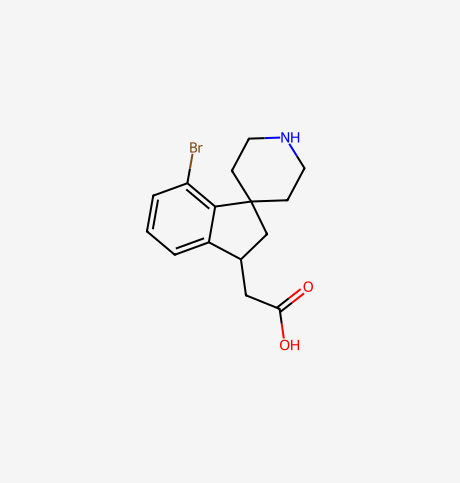 O=C(O)CC1CC2(CCNCC2)c2c(Br)cccc21